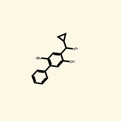 CCCC(c1cc(C(C)(C)C)c(-c2ccccc2)cc1O)C1CC1